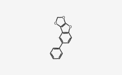 [c]1c(-c2ccccc2)ccc2oc3c(c12)OCO3